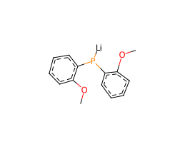 [Li][P](c1ccccc1OC)c1ccccc1OC